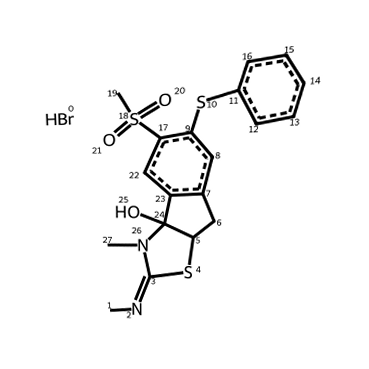 Br.CN=C1SC2Cc3cc(Sc4ccccc4)c(S(C)(=O)=O)cc3C2(O)N1C